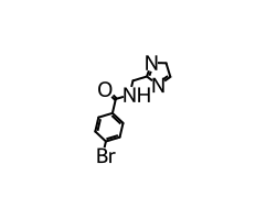 O=C(NCC1=NCC=N1)c1ccc(Br)cc1